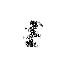 Cc1cc2c(cc1-c1ccc3c(n1)C1=C(CCC=N1)C3(C)C)C(C)(C)c1cc(-c3ccc4c(n3)-c3ncccc3C4(C)C)c(C)cc1-2